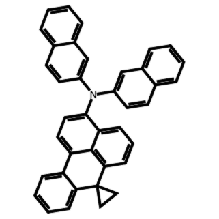 c1ccc2c(c1)-c1ccc(N(c3ccc4ccccc4c3)c3ccc4ccccc4c3)c3cccc(c13)C21CC1